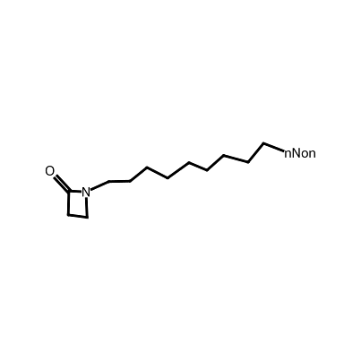 CCCCCCCCCCCCCCCCCCN1CCC1=O